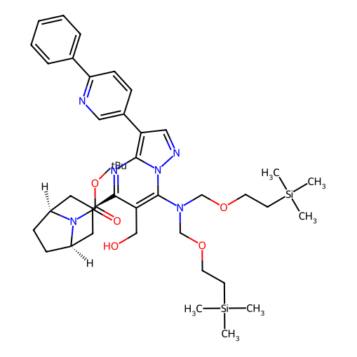 CC(C)(C)OC(=O)N1[C@@H]2CC[C@H]1C[C@@H](c1nc3c(-c4ccc(-c5ccccc5)nc4)cnn3c(N(COCC[Si](C)(C)C)COCC[Si](C)(C)C)c1CO)C2